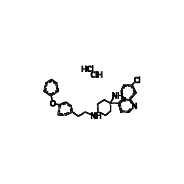 Cl.Cl.NC1(c2ccnc3cc(Cl)ccc23)CCC(NCCc2ccc(Oc3ccccc3)cc2)CC1